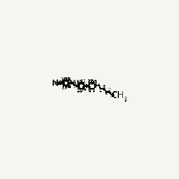 CCCCCCCC1CCC(c2ccc(CCc3ccc(C#N)cc3)cc2)CC1